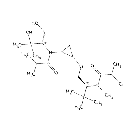 CC(C)C(=O)N(C)[C@H](COC1CC1N(C(=O)C(C)C)[C@@H](CO)C(C)(C)C)C(C)(C)C